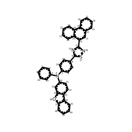 c1ccc(N(c2ccc(-c3nc(-c4cc5ccccc5c5ccccc45)ns3)cc2)c2ccc3c(c2)oc2ccccc23)cc1